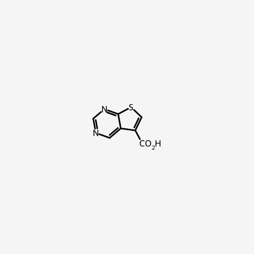 O=C(O)c1csc2ncncc12